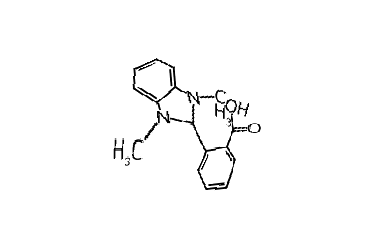 CN1c2ccccc2N(C)C1c1ccccc1C(=O)O